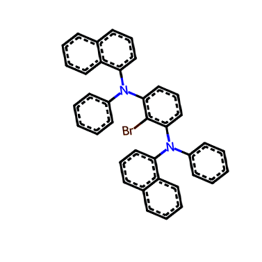 Brc1c(N(c2ccccc2)c2cccc3ccccc23)cccc1N(c1ccccc1)c1cccc2ccccc12